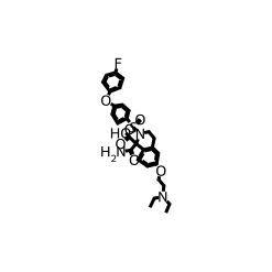 CCN(CC)CCOc1ccc2c(c1)CCN(S(=O)(=O)c1ccc(Oc3ccc(F)cc3)cc1)C2(C(N)=O)C(=O)O